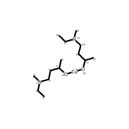 CCN(C)CCC(C)[O][Cu][O]C(C)CCN(C)CC